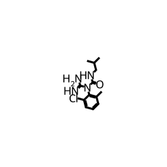 Cc1cccc(Cl)c1N(C(=N)N)C(=O)NCC(C)C